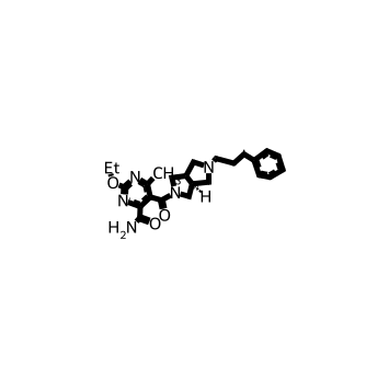 CCOc1nc(C)c(C(=O)N2CC3CN(CC[CH]c4ccccc4)C[C@H]3C2)c(C(N)=O)n1